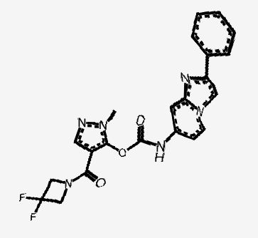 Cn1ncc(C(=O)N2CC(F)(F)C2)c1OC(=O)Nc1ccn2cc(-c3ccccc3)nc2c1